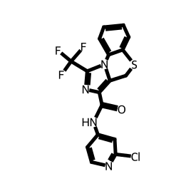 O=C(Nc1ccnc(Cl)c1)c1nc(C(F)(F)F)n2c1CSc1ccccc1-2